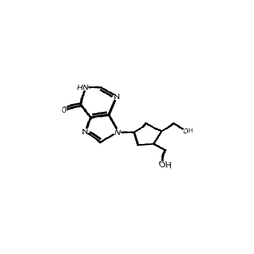 O=c1[nH]cnc2c1ncn2C1CC(CO)C(CO)C1